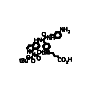 CC(C)(C)OC(=O)N(C(=O)OC(C)(C)C)c1nccc2cc(NC(C(=O)NCc3cccc(N)c3)c3ccc(CCCCC(=O)O)cc3)ccc12